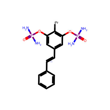 CC(C)c1c(OP(N)(N)=O)cc(/C=C/c2ccccc2)cc1OP(N)(N)=O